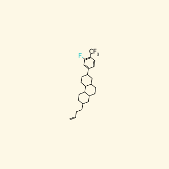 C=CCCC1CCC2C(CCC3CC(c4ccc(C(F)(F)F)c(F)c4)CCC32)C1